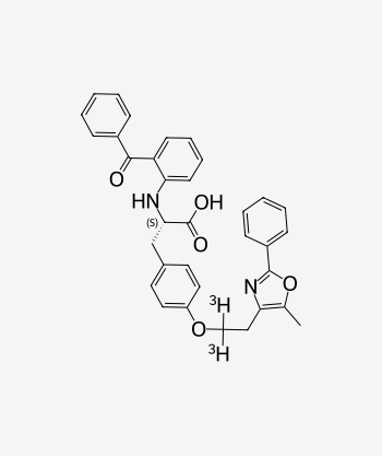 [3H]C([3H])(Cc1nc(-c2ccccc2)oc1C)Oc1ccc(C[C@H](Nc2ccccc2C(=O)c2ccccc2)C(=O)O)cc1